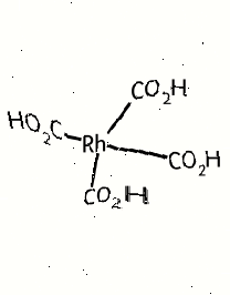 O=[C](O)[Rh]([C](=O)O)([C](=O)O)[C](=O)O